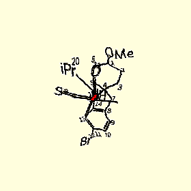 COC1CCC2(CC1)Cc1ccc(Br)cc1C21NC(=S)N(C(C)C)C1=O